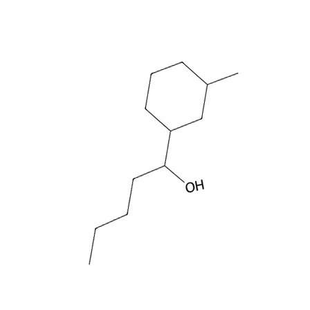 CCCCC(O)C1CCCC(C)C1